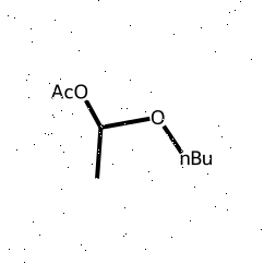 [CH2]C(=O)OC(C)OCCCC